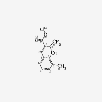 Cc1cccc2c1OC(C(F)(F)F)C(C(=O)OCl)=C2